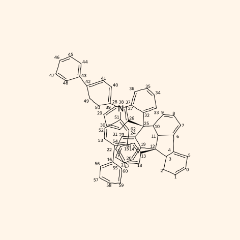 C1=CCC2C(=C1)C1=CC=CC3C1[C@@]2(c1ccccc1)c1ccccc1[C@]3(c1ccccc1)c1ccccc1N(C1=CC=C(c2ccccc2)CC1)c1ccc(-c2ccccc2)cc1